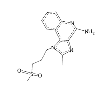 Cc1nc2c(N)nc3ccccc3c2n1CCCS(C)(=O)=O